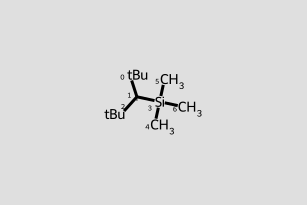 CC(C)(C)[C](C(C)(C)C)[Si](C)(C)C